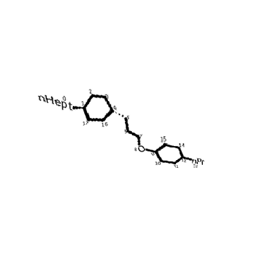 CCCCCCC[C@H]1CC[C@H](CCCOC2CCC(CCC)CC2)CC1